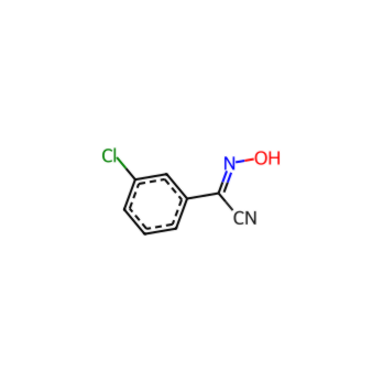 N#CC(=NO)c1cccc(Cl)c1